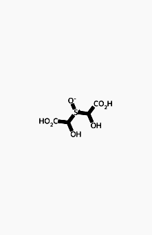 O=C(O)C(O)[S+]([O-])C(O)C(=O)O